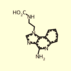 Nc1nc2ccccc2c2c1ncn2CCNC(=O)O